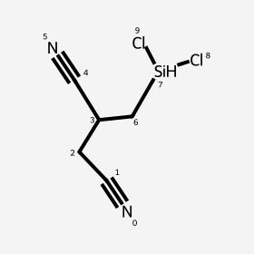 N#CCC(C#N)C[SiH](Cl)Cl